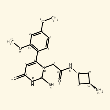 COc1ccc(C2=CC(=O)NC(S)N2CC(=O)N[C@H]2C[C@H](N)C2)c(OC)c1